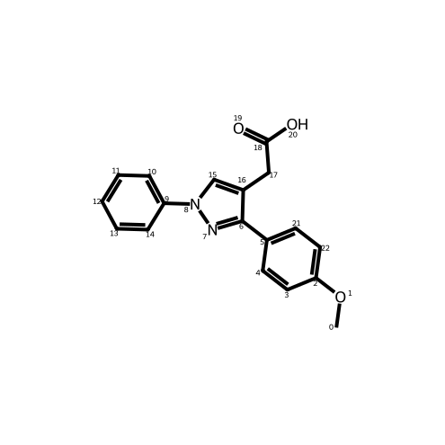 COc1ccc(-c2nn(-c3ccccc3)cc2CC(=O)O)cc1